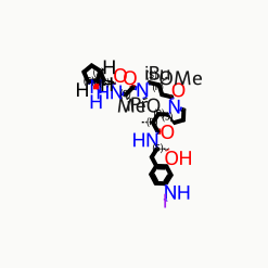 CC[C@H](C)C([C@@H](CC(=O)N1CCC[C@H]1[C@H](OC)[C@@H](C)C(=O)N[C@H](CO)Cc1ccc(NI)cc1)OC)N(C)C(=O)[C@@H](NC(=O)[C@H]1N[C@H]2CC[C@H]1[C@@H]2C)C(C)C